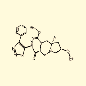 CCO[C@@H]1C[C@@H]2CN(C(=O)OC(C)(C)C)[C@H](C(=O)Nc3snnc3-c3ccccc3)CN2C1